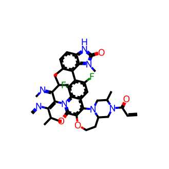 C=CC(=O)N1CC2CCOc3c(c4cc(F)c(-c5c(C)ccc6[nH]c(=O)n(C)c56)c(F)c4n(C(/C(=N\C)C(C)C)=C(/N=C)C(C)C)c3=O)N2CC1C